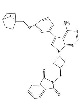 Nc1ncnc2c1c(-c1cccc(OCC34CCC(CC3)O4)c1)cn2[C@H]1C[C@H](CN2C(=O)c3ccccc3C2=O)C1